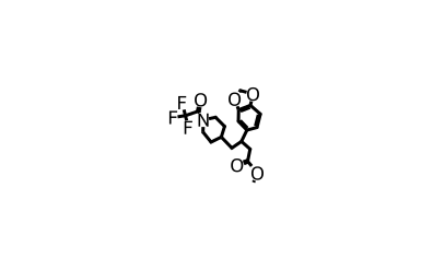 COC(=O)CC(CC1CCN(C(=O)C(F)(F)F)CC1)c1ccc2c(c1)OCO2